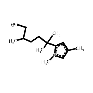 Cc1cc(C(C)(C)CCC(C)CC(C)(C)C)n(C)c1